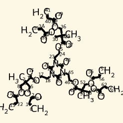 C=CC(=O)OCC(C)(COC(=O)C=C)C(=O)OCCn1c(=O)n(CCOC(=O)C(C)(COC(=O)C=C)COC(=O)C=C)c(=O)n(CCOC(=O)C(C)(COC(=O)C=C)COC(=O)C=C)c1=O